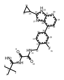 CC(C)(C)C(=N)NC(=O)C(=O)NCc1ccc(-c2ccnc3[nH]c(C4CC4)nc23)cc1F